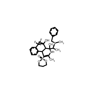 CC1=C(P2(=O)OCCCO2)C(c2ccccc2C(F)(F)F)C(C(=O)O)C(C)(C(C)N(C)Cc2ccccc2)N1